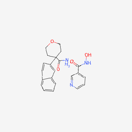 NC(=O)C1(c2ccc3ccccc3c2)CCOCC1.O=C(NO)c1cccnc1